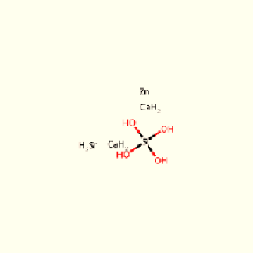 O[Si](O)(O)O.[CaH2].[CaH2].[SrH2].[Zn]